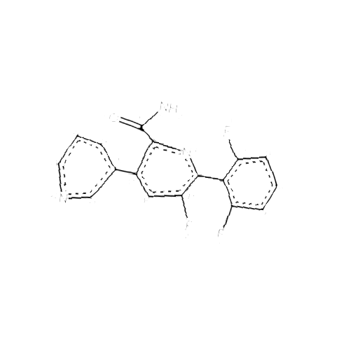 NC(=O)c1nc(-c2c(F)cccc2F)c(F)cc1-c1cccnc1